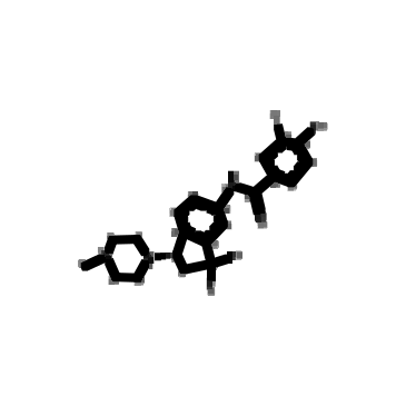 CN1CCN([C@H]2CC(F)(F)c3cc(NC(=O)c4ccc(F)c(I)c4)ccc32)CC1